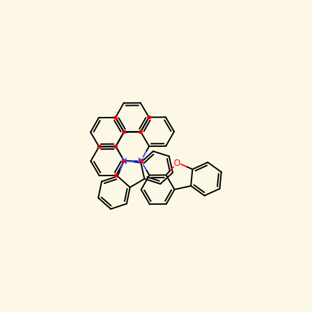 c1ccc(-c2ccccc2N(c2ccccc2-c2ccccc2-n2c3ccccc3c3ccccc32)c2cccc3c2oc2ccccc23)cc1